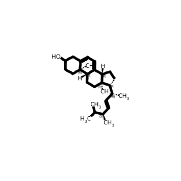 CC(C)[C@H](C)C=C[C@@H](C)[C@H]1CC[C@H]2C3=CC=C4CC(O)CC[C@]4(C)[C@H]3CC[C@]12C